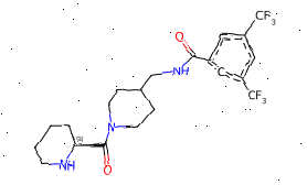 O=C(NCC1CCN(C(=O)[C@@H]2CCCCN2)CC1)c1cc(C(F)(F)F)cc(C(F)(F)F)c1